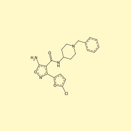 Nc1onc(-c2ccc(Cl)o2)c1C(=O)NC1CCN(Cc2ccccc2)CC1